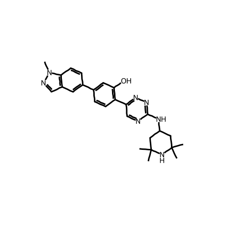 Cn1ncc2cc(-c3ccc(-c4cnc(NC5CC(C)(C)NC(C)(C)C5)nn4)c(O)c3)ccc21